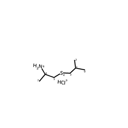 CC(C)CSCC(C)N.Cl